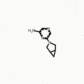 Nc1cncc(N2CC3CC3C2)n1